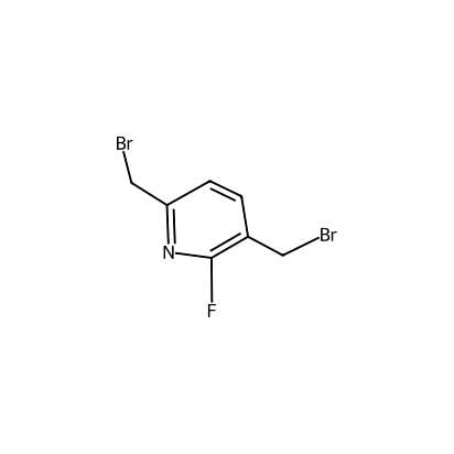 Fc1nc(CBr)ccc1CBr